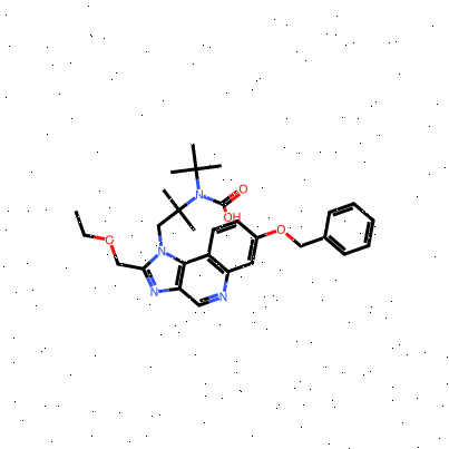 CCOCc1nc2cnc3cc(OCc4ccccc4)ccc3c2n1CC(C)(C)N(C(=O)O)C(C)(C)C